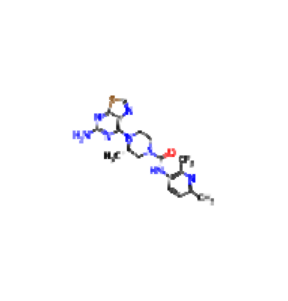 Cc1ccc(NC(=O)N2CCN(c3nc(N)nc4scnc34)[C@@H](C)C2)c(C(F)(F)F)n1